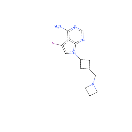 Nc1ncnc2c1c(I)cn2C1CC(CN2CCC2)C1